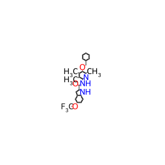 Cc1nc(NC(=O)c2cc3cc(OC(F)(F)F)ccc3[nH]2)c(C)c(C)c1OCc1ccccc1